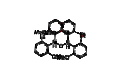 CCc1cccc(OC)c1[SiH](O[SiH](c1c(CC)cccc1OC)c1c(CC)cccc1OC)c1c(CC)cccc1OC